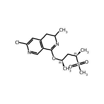 CC1Cc2cc(Cl)ncc2C(O[C@H](C)C[C@@H](C)S(C)(=O)=O)=N1